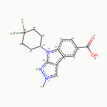 Cn1cc2c3cc(C(=O)O)ccc3n(C3CCC(F)(F)CC3)c2n1